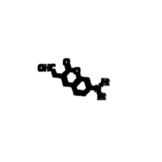 CCN(CC)c1ccc2cc(CC=O)c(=O)oc2c1